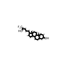 CC12CCC3C(CCC4CC(O)CCC43C)C1CCC2CCCC(O)C(F)(F)F